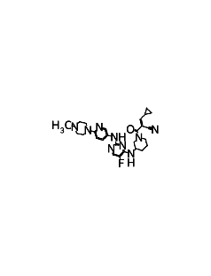 CN1CCN(c2ccc(Nc3ncc(F)c(NC4CCCN(C(=O)/C(C#N)=C/C5CC5)C4)n3)cn2)CC1